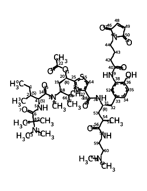 CC[C@H](C)[C@H](NC(=O)C(C)(C)N(C)C)C(=O)N(C)C(C[C@@H](OC(C)=O)c1nc(C(=O)N[C@@H](Cc2ccc(O)c(NC(=O)CCCN3C(=O)C=CC3=O)c2)CC(C)C(=O)NCCN(C)C)cs1)C(C)C